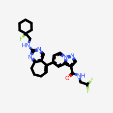 O=C(NCC(F)F)c1cnn2ccc(C3=CCCCc4nc(NCC5(F)CCCCC5)ncc43)cc12